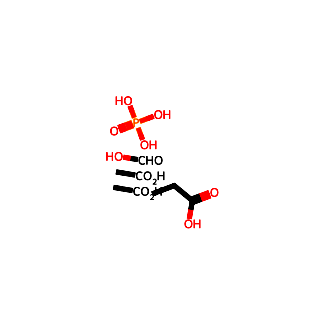 CC(=O)O.CC(=O)O.CCC(=O)O.O=CO.O=P(O)(O)O